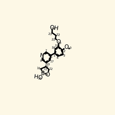 COc1ccc(-c2cncc([C@@H]3COB(O)C3)c2)cc1OCCCO